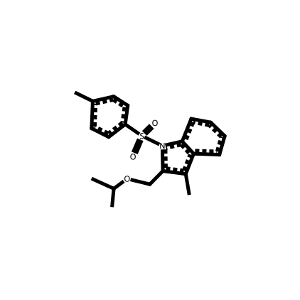 Cc1ccc(S(=O)(=O)n2c(COC(C)C)c(C)c3ccccc32)cc1